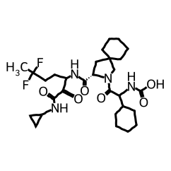 CC(F)(F)CCC(NC(=O)[C@@H]1CC2(CCCCC2)CN1C(=O)C(NC(=O)O)C1CCCCC1)C(=O)C(=O)NC1CC1